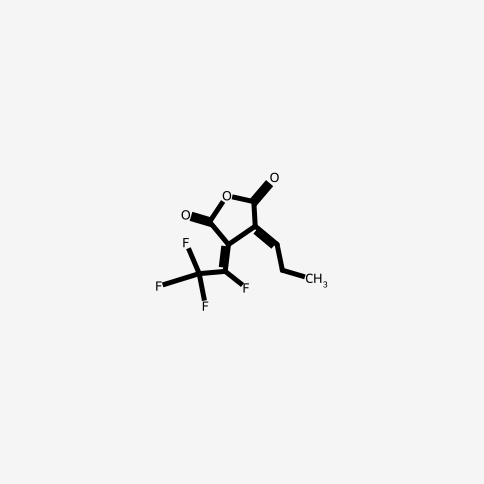 CCC=C1C(=O)OC(=O)C1=C(F)C(F)(F)F